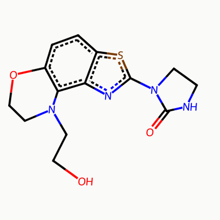 O=C1NCCN1c1nc2c3c(ccc2s1)OCCN3CCO